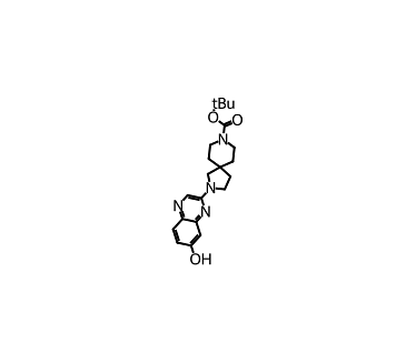 CC(C)(C)OC(=O)N1CCC2(CC1)CCN(c1cnc3ccc(O)cc3n1)C2